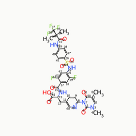 Cc1cn(C)c(=O)n(-c2ccc(C[C@H](NC(=O)c3cc(F)c(NS(=O)(=O)c4ccc(NC(=O)C(C)(C)C(F)(F)F)cc4)cc3F)C(=O)O)cn2)c1=O